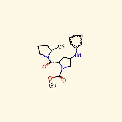 CC(C)(C)OC(=O)N1CC(Nc2ccccc2)CC1C(=O)N1CCC[C@H]1C#N